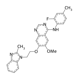 COc1cc2c(Nc3ccc(C)cc3F)ncnc2cc1OCCn1c(C)nc2ccccc21